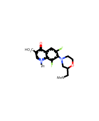 CNCC1CN(c2c(F)cc3c(=O)c(C(=O)O)cn(C(C)C)c3c2F)CCO1